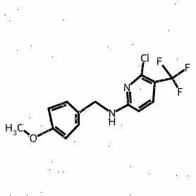 COc1ccc(CNc2ccc(C(F)(F)F)c(Cl)n2)cc1